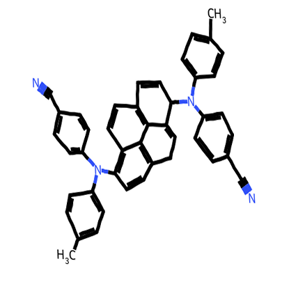 Cc1ccc(N(c2ccc(C#N)cc2)c2ccc3c4c5c(ccc24)C=CC(N(c2ccc(C)cc2)c2ccc(C#N)cc2)C5=CC3)cc1